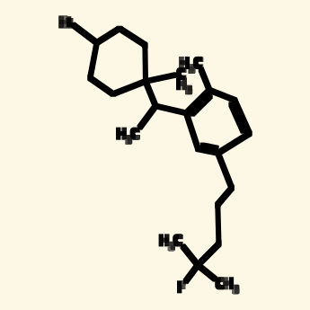 CCC1CCC(C)(C(C)c2cc(CCCC(C)(C)F)ccc2C)CC1